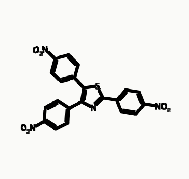 O=[N+]([O-])c1ccc(-c2nc(-c3ccc([N+](=O)[O-])cc3)c(-c3ccc([N+](=O)[O-])cc3)s2)cc1